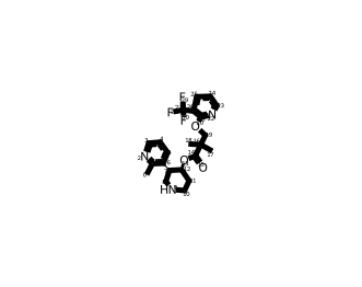 Cc1ncccc1[C@H]1CNCC[C@@H]1OC(=O)C(C)(C)COc1ncccc1C(F)(F)F